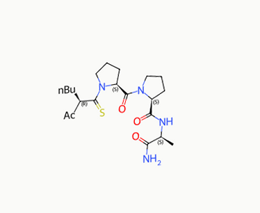 CCCC[C@H](C(C)=O)C(=S)N1CCC[C@H]1C(=O)N1CCC[C@H]1C(=O)N[C@@H](C)C(N)=O